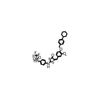 COc1cc(C=C2SC(Nc3ccc(NS(=O)(=O)C(F)(F)F)cc3)=NC2=O)ccc1OCc1ccc(C2CCCCC2)cc1